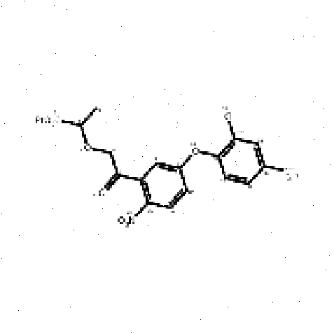 CCOC(=O)C(C)OCC(=O)c1cc(Oc2ccc(C(F)(F)F)cc2Cl)ccc1[N+](=O)[O-]